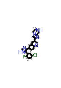 Fc1ccc(Cl)cc1-c1[nH]cnc1-c1ccc2ncc(-c3cn4c(n3)CNCC4)cc2c1